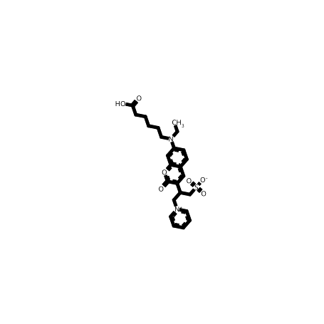 CCN(CCCCCC(=O)O)c1ccc2cc(C(C[n+]3ccccc3)CS(=O)(=O)[O-])c(=O)oc2c1